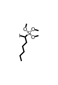 CCCCCC(I)[Si](OC)(OC)OC